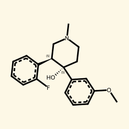 COc1cccc([C@]2(O)CCN(C)C[C@@H]2c2ccccc2F)c1